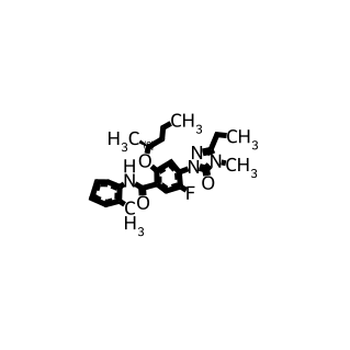 CCC[C@H](C)Oc1cc(-n2nc(CC)n(C)c2=O)c(F)cc1C(=O)Nc1ccccc1C